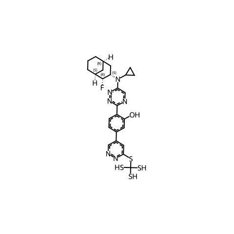 Oc1cc(-c2cnnc(SC(S)(S)S)c2)ccc1-c1ncc(N(C2CC2)[C@H]2C[C@@H]3CCC[C@@H](C3)[C@H]2F)nn1